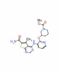 Cc1c(C(N)=O)sc2ncnc(Nc3cccnc3OC3CCCN(C(=O)OC(C)(C)C)C3)c12